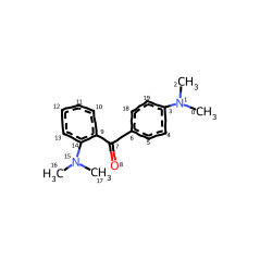 CN(C)c1ccc(C(=O)c2ccccc2N(C)C)cc1